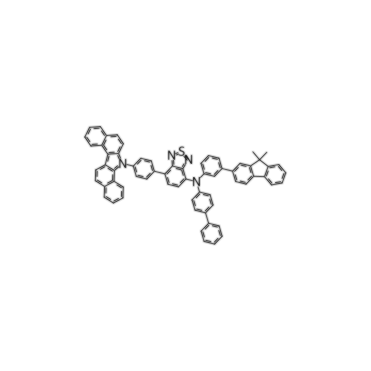 CC1(C)c2ccccc2-c2ccc(-c3cccc(N(c4ccc(-c5ccccc5)cc4)c4ccc(-c5ccc(-n6c7ccc8ccccc8c7c7ccc8ccccc8c76)cc5)c5nsnc45)c3)cc21